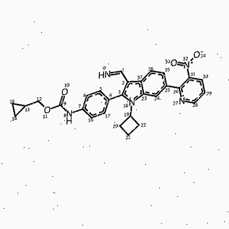 N=Cc1c(-c2ccc(NC(=O)OCC3CC3)cc2)n(C2CCC2)c2cc(-c3ncccc3[N+](=O)[O-])ccc12